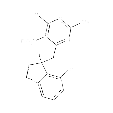 CCOC(=O)c1c(Cl)nc(SC)nc1CC1(O)CCc2cccc(Br)c21